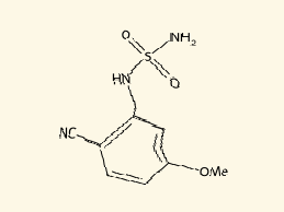 COc1ccc(C#N)c(NS(N)(=O)=O)c1